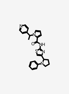 CC(c1ccncc1)n1cccc1C(=O)Nc1nc(C2CCCN2c2ccccc2)cs1